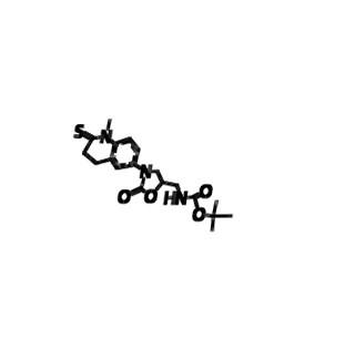 CN1C(=S)CCc2cc(N3CC(CNC(=O)OC(C)(C)C)OC3=O)ccc21